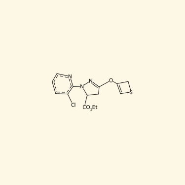 CCOC(=O)C1CC(OC2=CSC2)=NN1c1ncccc1Cl